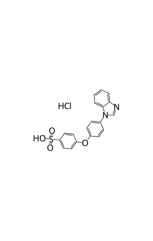 Cl.O=S(=O)(O)c1ccc(Oc2ccc(-n3cnc4ccccc43)cc2)cc1